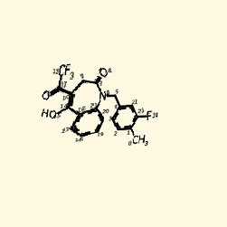 Cc1ccc(CN2C(=O)CC(C(=O)C(F)(F)F)=C(O)c3ccccc32)cc1F